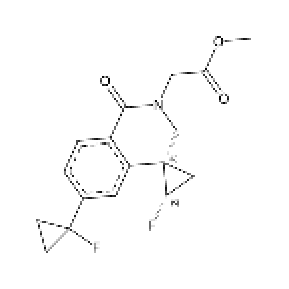 COC(=O)CN1C[C@@]2(C[C@@H]2F)c2cc(C3(F)CC3)ccc2C1=O